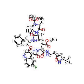 CC(C)C[C@@H](C(=O)N(C)C1(C(=O)N[C@@H](COc2cnc3ccc(F)cc3c2C(=O)N[C@@H](CC(=O)OC(C)(C)C)C(=O)NCCc2cc(C3CC3)no2)Cc2ccccc2)CCC1)N(C)C(=O)OC(C)(C)C